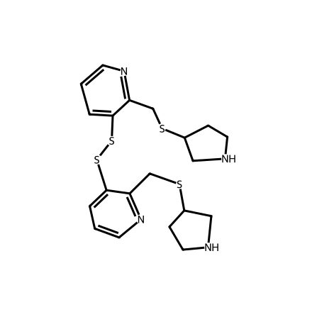 c1cnc(CSC2CCNC2)c(SSc2cccnc2CSC2CCNC2)c1